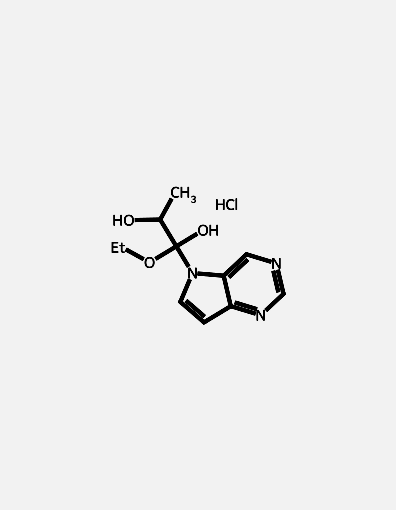 CCOC(O)(C(C)O)n1ccc2ncncc21.Cl